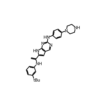 C=C(Nc1cccc(C(C)(C)C)c1)c1cc2cnc(Nc3ccc(N4CCNCC4)cc3)nc2[nH]1